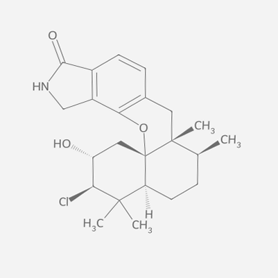 C[C@H]1CC[C@H]2C(C)(C)[C@@H](Cl)[C@H](O)C[C@]23Oc2c(ccc4c2CNC4=O)C[C@]13C